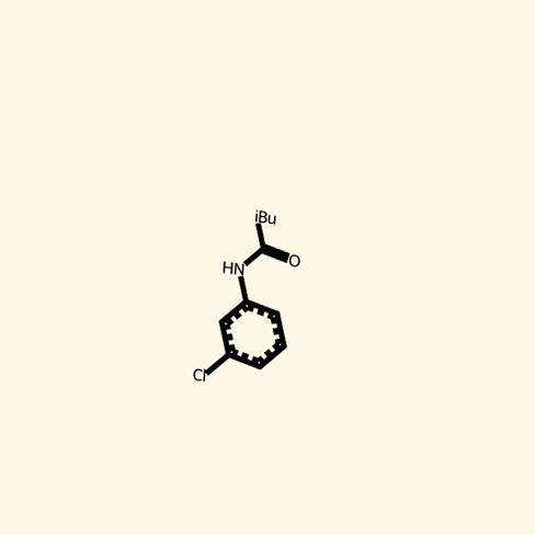 CCC(C)C(=O)Nc1cccc(Cl)c1